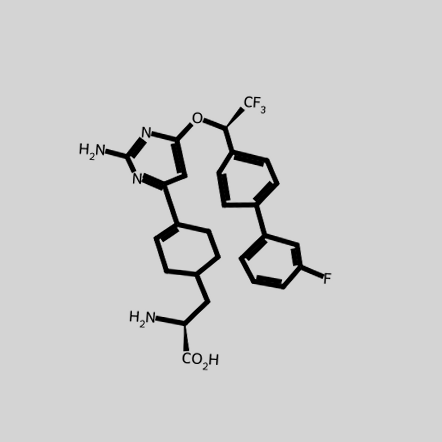 Nc1nc(O[C@H](c2ccc(-c3cccc(F)c3)cc2)C(F)(F)F)cc(C2=CCC(C[C@H](N)C(=O)O)CC2)n1